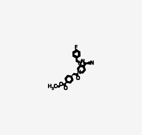 CCOC(=O)[C@H]1CC[C@H](CC(=O)N2CCc3c(C#N)nn(Cc4ccc(F)cc4)c3C2)CC1